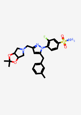 Cc1cccc(Cc2cc(CN3CC4OC(C)(C)OC4C3)nn2-c2ccc(S(N)(=O)=O)cc2F)c1